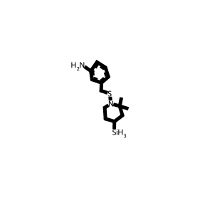 CC1(C)CC([SiH3])CCN1SCc1cccc(N)c1